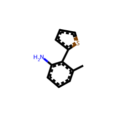 Cc1cccc(N)c1-c1cccs1